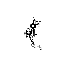 COCCOCC(O)(C(=O)Nc1ccc(C#N)c(C(F)(F)F)c1)C(F)(F)F